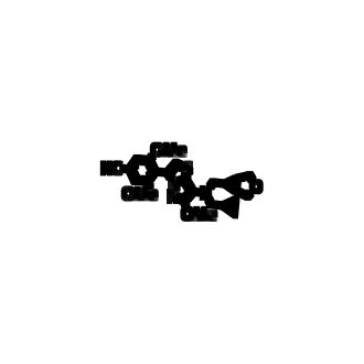 COc1cc(C#N)cc(OC)c1-c1csc2c(N(CC3CC3)CC3C4COCC43)c(OC)nn12